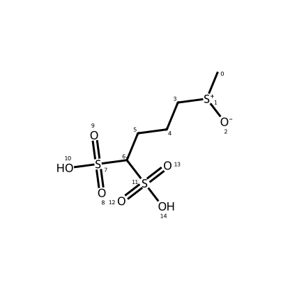 C[S+]([O-])CCC[C](S(=O)(=O)O)S(=O)(=O)O